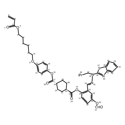 C=CC(=O)OCCCCCCOc1ccc(OC(=O)[C@H]2CC[C@H](C(=O)Oc3ccc(OC=O)cc3/C=N/N(CC(C)C)c3nc4ccccc4s3)CC2)cc1